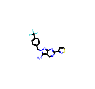 Nc1c2cnc(-c3ccsn3)nc2nn1Cc1ccc(C(F)(F)F)cc1